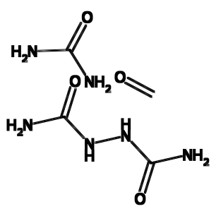 C=O.NC(=O)NNC(N)=O.NC(N)=O